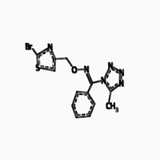 Cc1nnnn1/C(=N/OCc1csc(Br)n1)c1ccccc1